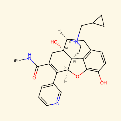 CC(C)NC(=O)C1=C(c2cccnc2)[C@@H]2Oc3c(O)ccc4c3[C@@]23CCN(CC2CC2)[C@H](C4)[C@]3(O)C1